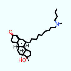 CCCCN(C)CCCCCCCCC[C@@H]1CC2=CC(=O)CC[C@]2(C)[C@H]2CC[C@@]3(C)[C@@H](CC[C@]3(C)O)[C@H]12